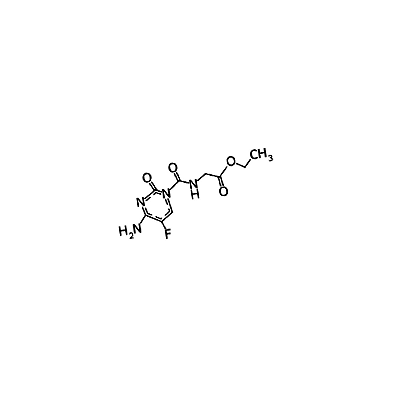 CCOC(=O)CNC(=O)n1cc(F)c(N)nc1=O